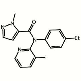 CCc1ccc(N(C(=O)c2ccnn2C)c2ncccc2I)cc1